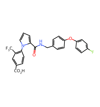 O=C(O)c1ccc(-n2cccc2C(=O)NCc2ccc(Oc3ccc(F)cc3)cc2)c(C(F)(F)F)c1